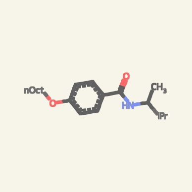 CCCCCCCCOc1ccc(C(=O)NC(C)C(C)C)cc1